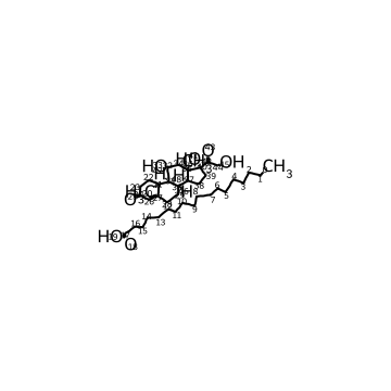 CCCCCCCCCCCCCCCCCC(=O)O.C[C@]12CCC(=O)C=C1CC[C@@H]1[C@@H]2[C@@H](O)C[C@@]2(C)[C@H]1CC[C@]2(O)C(=O)CO